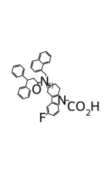 O=C(O)Cn1c2c(c3cc(F)ccc31)C[C@@H](N(Cc1cccc3ccccc13)C(=O)CC(c1ccccc1)c1ccccc1)CC2